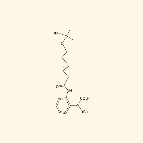 CC(C)(C)N(C(=O)O)c1ccccc1NC(=O)C/C=C/CCO[Si](C)(C)C(C)(C)C